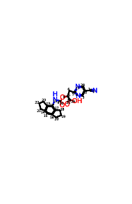 N#Cc1cnc(CC(OC(=O)Nc2c3c(cc4c2CCC4)CCC3)C(=O)O)nc1